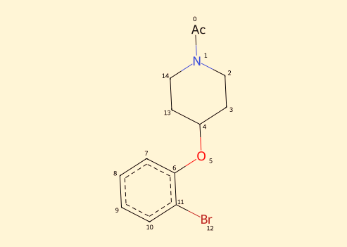 [CH2]C(=O)N1CCC(Oc2ccccc2Br)CC1